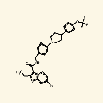 CCc1nc2cc(Br)ccn2c1C(=O)NCc1ccc(N2CCC(c3ccc(OC(F)(F)F)cc3)CC2)cc1